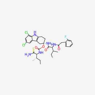 CCC(C)[C@H](NC(=O)Cc1ccccc1F)C(=O)N[C@@]1(OC(=O)NC(C(N)=S)[C@@H](C)CC)CCc2[nH]c3c(Cl)cc(Cl)cc3c2C1